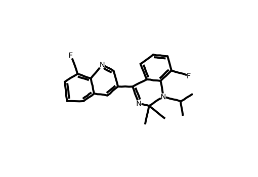 CC(C)N1c2c(F)cccc2C(c2cnc3c(F)cccc3c2)=NC1(C)C